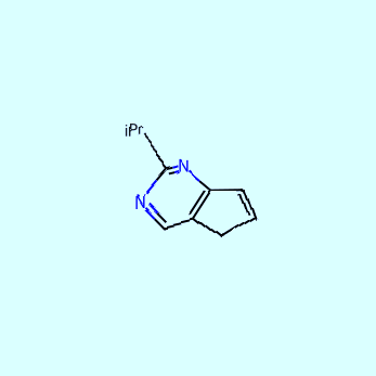 CC(C)c1ncc2c(n1)C=CC2